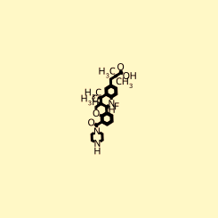 CC(C)(Cc1ccc2c(c1)C(C)(C)[C@H]1COc3c(C(=O)N4CCNCC4)cccc3[C@H]1N2F)C(=O)O